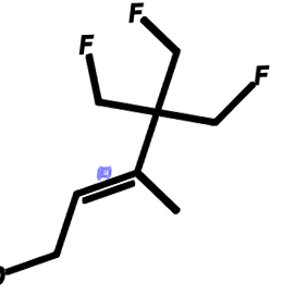 C/C(=C\C[O])C(CF)(CF)CF